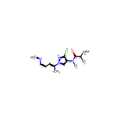 C=N/C=C\C=C(/C)n1cc(N(CC)C(=O)C(CC)SC)c(Cl)n1